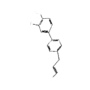 N#Cc1ccc(-c2ccc(CC=CF)cc2)cc1F